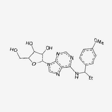 CCC(Nc1ncnc2c1ncn2C1OC(CO)C(O)C1O)c1ccc(OC)cc1